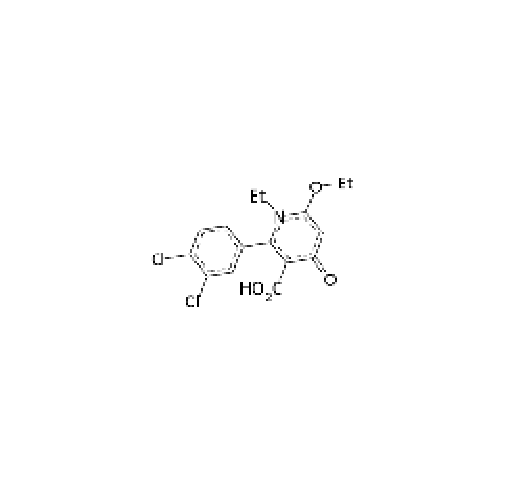 CCOc1cc(=O)c(C(=O)O)c(-c2ccc(Cl)c(Cl)c2)n1CC